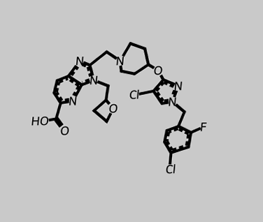 O=C(O)c1ccc2nc(CN3CCC(Oc4nn(Cc5ccc(Cl)cc5F)cc4Cl)CC3)n(CC3CCO3)c2n1